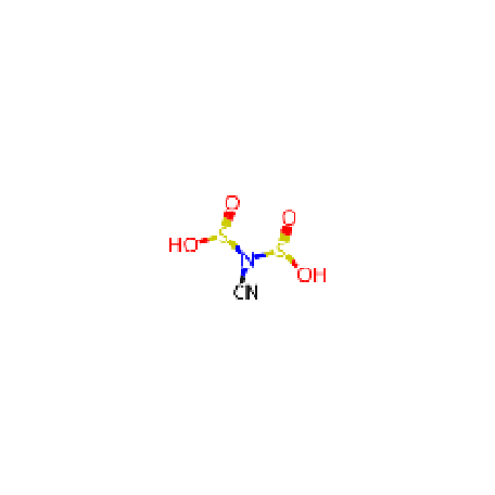 N#CN(S(=O)O)S(=O)O